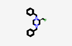 FC[C@H]1CN(Cc2ccccc2)CCN1Cc1ccccc1